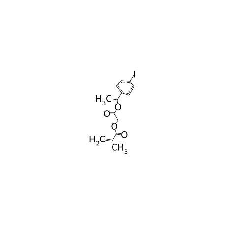 C=C(C)C(=O)OCC(=O)OC(C)c1ccc(I)cc1